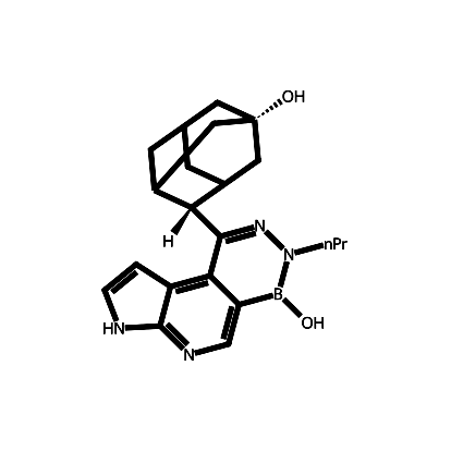 CCCN1N=C([C@H]2C3CC4CC2C[C@@](O)(C4)C3)c2c(cnc3[nH]ccc23)B1O